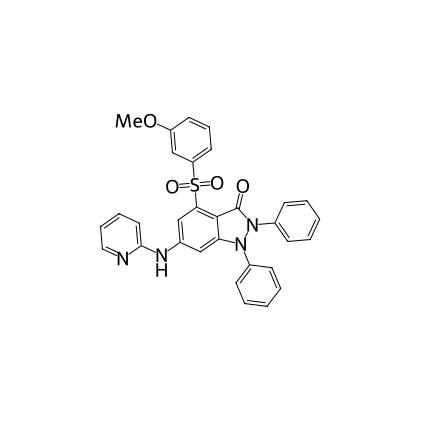 COc1cccc(S(=O)(=O)c2cc(Nc3ccccn3)cc3c2c(=O)n(-c2ccccc2)n3-c2ccccc2)c1